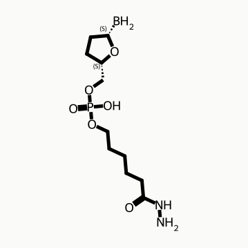 B[C@H]1CC[C@@H](COP(=O)(O)OCCCCCC(=O)NN)O1